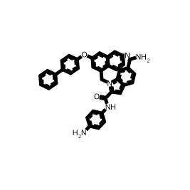 N=C(N)c1ccc2cc(C(=O)Nc3ccc(N)cc3)n(Cc3cc(Oc4ccc(-c5ccccc5)cc4)cc4ccccc34)c2c1